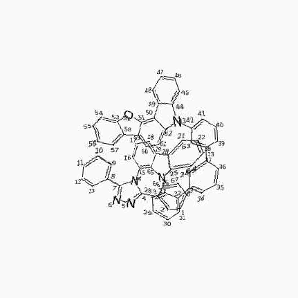 c1ccc(-c2nnc(-c3ccccc3)n2-c2cccc3c4ccccc4n(-c4ccccc4-c4cccc(-c5cccc(-n6c7ccccc7c7c8oc9ccccc9c8ccc76)c5)c4)c23)cc1